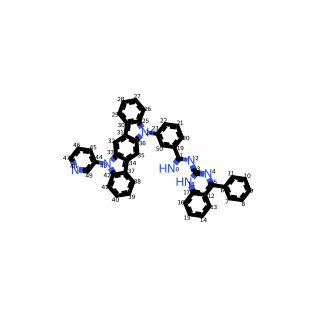 N=C(/N=c1/nc(-c2ccccc2)c2ccccc2[nH]1)c1cccc(-n2c3ccccc3c3cc4c(cc32)c2ccccc2n4-c2cccnc2)c1